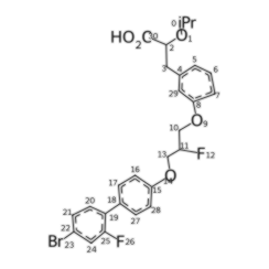 CC(C)OC(Cc1cccc(OCC(F)COc2ccc(-c3ccc(Br)cc3F)cc2)c1)C(=O)O